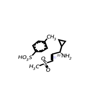 CS(=O)(=O)/C=C/[C@@H](N)C1CC1.Cc1ccc(S(=O)(=O)O)cc1